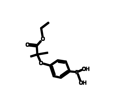 CCOC(=O)C(C)(C)Oc1ccc(B(O)O)cc1